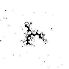 CCC(CC(NC(=O)CCC(=O)O)C(C)(C)CC(C)(C)C(N)=O)c1cn(C)nn1